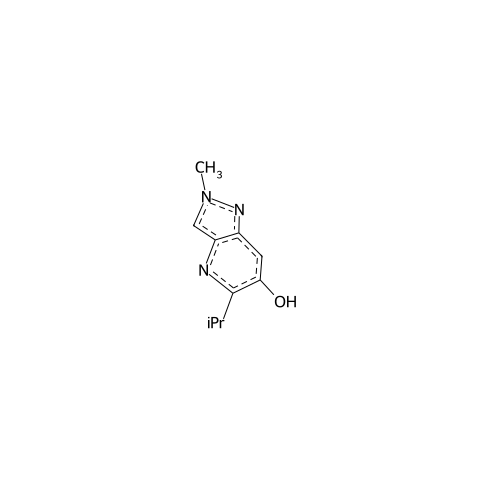 CC(C)c1nc2cn(C)nc2cc1O